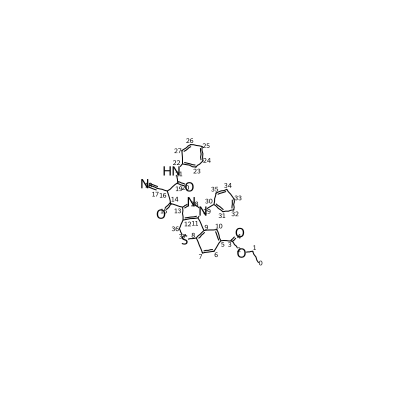 CCOC(=O)c1ccc2c(c1)-c1c(c(C(=O)C(C#N)C(=O)Nc3ccccc3)nn1-c1ccccc1)CS2